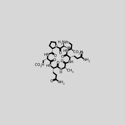 CC[C@H](C)[C@H](N)C(=O)N1CCC[C@H]1C(=O)N[C@@H](CC(=O)O)C(=O)N[C@@H](CCC(N)=O)C(=O)N[C@@H](C)C(=O)N[C@@H](CCC(N)=O)C(=O)N[C@@H](CC(C)C)C(=O)O